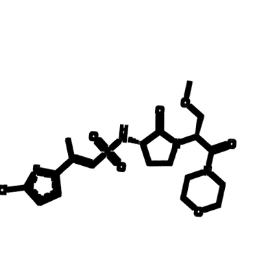 COC[C@@H](C(=O)N1CCOCC1)N1CC[C@H](NS(=O)(=O)/C=C(\C)c2ccc(Cl)s2)C1=O